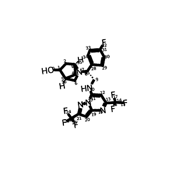 OC1C[C@@H]2C[C@H]1CN2[C@@H](CNc1cc(C(F)(F)F)nc2cc(C(F)(F)F)nn12)c1ccc(F)cc1